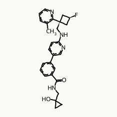 Cc1cccnc1[C@]1(CNc2ccc(-c3cccc(C(=O)NCC4(O)CC4)c3)cn2)C[C@@H](F)C1